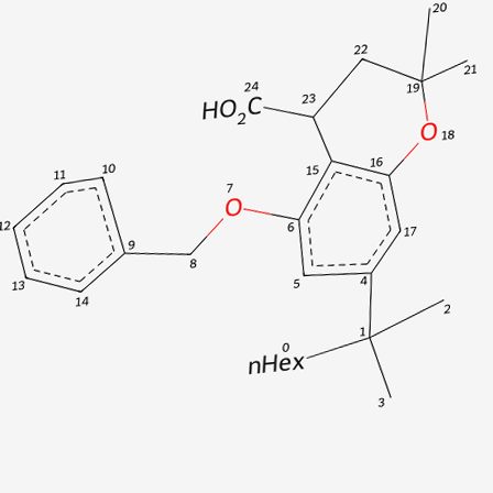 CCCCCCC(C)(C)c1cc(OCc2ccccc2)c2c(c1)OC(C)(C)CC2C(=O)O